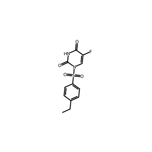 CCc1ccc(S(=O)(=O)n2cc(F)c(=O)[nH]c2=O)cc1